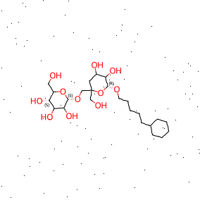 OCC1O[C@H](OCC2(CO)CC(O)C(O)[C@H](OCCCCCC3CCCCC3)O2)C(O)C(O)[C@@H]1O